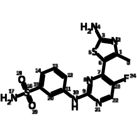 Cc1nc(N)sc1-c1nc(Nc2cccc(S(N)(=O)=O)c2)ncc1F